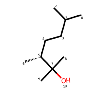 CC(C)CC[C@@H](C)C(C)(C)O